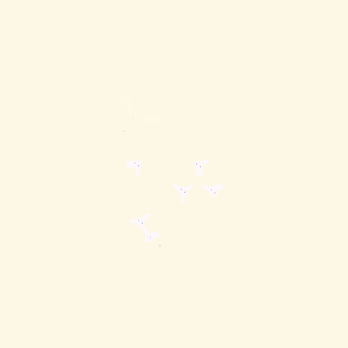 CCc1cnc(N(CCc2csc(SC(C)(C)C(=O)O)n2)Cc2cnn(C3CCCCC3)c2)nc1.Cl